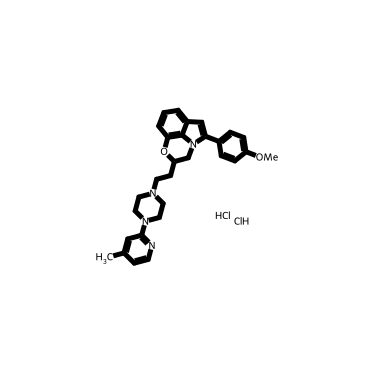 COc1ccc(-c2cc3cccc4c3n2CC(CCN2CCN(c3cc(C)ccn3)CC2)O4)cc1.Cl.Cl